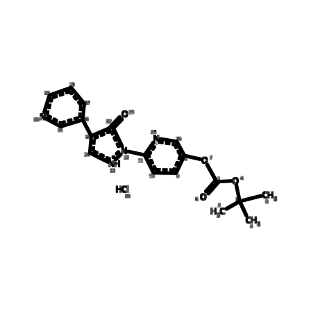 CC(C)(C)OC(=O)Oc1ccc(-n2[nH]cc(-c3cccnc3)c2=O)nc1.Cl